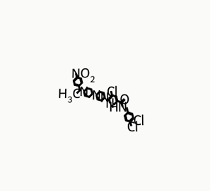 CC(c1ccc([N+](=O)[O-])cc1)N1CCC(N2CCN(c3ncc(C(=O)NCc4ccc(Cl)c(Cl)c4)cc3Cl)CC2)CC1